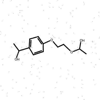 CC(O)OCCOc1ccc(C(C)O)cc1